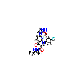 CC[C@@H](NC(=O)c1cn(-c2ccc(F)cc2F)c2nc(N3CCNC3=O)ccc2c1=O)C(F)(F)F